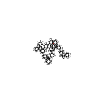 c1ccc(-c2ccc(-c3cc(-c4cccc(-n5c6ccccc6c6ccc(-c7ccc8oc9ccccc9c8c7)cc65)c4)nc(-n4c5ccccc5c5ccc(-c6ccc7oc8ccccc8c7c6)cc54)n3)c(-c3ccccc3)c2)cc1